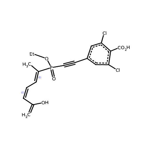 C=C(O)/C=C\C=C(/C)P(=O)(C#Cc1cc(Cl)c(C(=O)O)c(Cl)c1)OCC